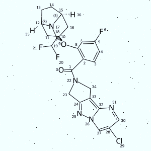 O=C(c1ccc(F)cc1O[C@H]1C[C@H]2CC[C@@H](C1)N2CC(F)F)N1Cc2nn3cc(Cl)cnc3c2C1